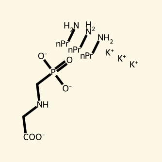 CCCN.CCCN.CCCN.O=C([O-])CNCP(=O)([O-])[O-].[K+].[K+].[K+]